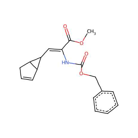 COC(=O)C(=CC1C2C=CCC21)NC(=O)OCc1ccccc1